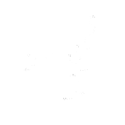 COC(=O)CCNC(=O)C1SC(=NC(=O)c2ccc(C#N)cc2)N(CCCCCC(=O)OC(C)(C)C)C1C